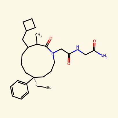 CCC(C)C[C@]1(c2ccccc2)CCCC(CC2CCC2)C(C)C(=O)N(CC(=O)NCC(N)=O)CCC1